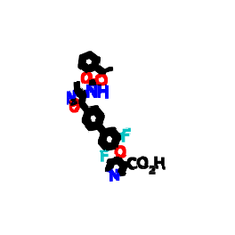 Cc1noc(-c2ccc(-c3cc(F)c(Oc4ccncc4C(=O)O)c(F)c3)cc2)c1NC(=O)O[C@H](C)c1ccccc1